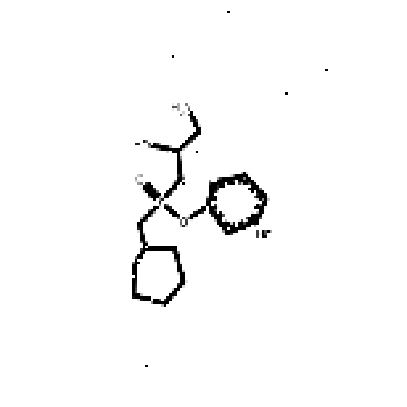 Cl.NCC(O)CP(=O)(CC1CCCCC1)Oc1ccccc1